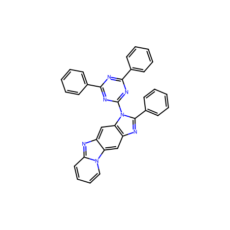 c1ccc(-c2nc(-c3ccccc3)nc(-n3c(-c4ccccc4)nc4cc5c(cc43)nc3ccccn35)n2)cc1